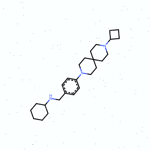 c1cc(N2CCC3(CC2)CCN(C2CCC2)CC3)ccc1CNC1CCCCC1